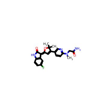 CN(CC(N)=O)c1ccc(C2=CC(=C3C(=O)Nc4ccc(F)cc43)OC2(C)C)cn1